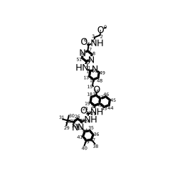 COCCNC(=O)c1cnc(Nc2cc(COc3ccc(NC(=O)Nc4cc(C(C)(C)C)nn4-c4ccc(C)c(C)c4)c4ccccc34)ccn2)cn1